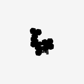 CC1(C)c2ccccc2-c2ccc(C(CCc3ccc4c(c3)C(c3ccccc3)(c3ccccc3)c3ccccc3-4)c3cc4c5cc(-c6ccccc6)c(-c6ccccc6)cc5oc4c4ccccc34)cc21